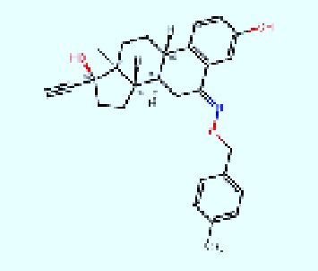 C#C[C@@]1(O)CC[C@H]2[C@@H]3CC(=NOCc4ccc([N+](=O)[O-])cc4)c4cc(O)ccc4[C@H]3CC[C@@]21C